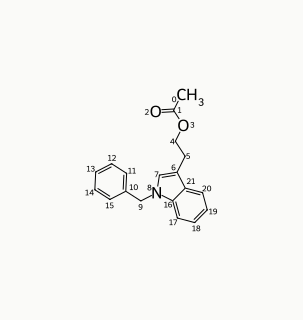 CC(=O)OCCc1cn(Cc2ccccc2)c2ccccc12